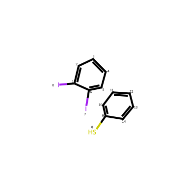 Ic1ccccc1I.Sc1ccccc1